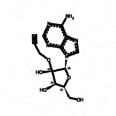 C#CCO[C@@]1(O)[C@H](O)[C@@H](CO)O[C@H]1n1cnc2c(N)ncnc21